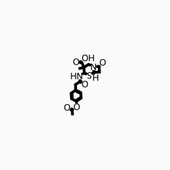 CC(=O)Oc1ccc(CC(=O)NC2S[C@@H]3CC(=O)N3CC2(C)C(=O)O)cc1